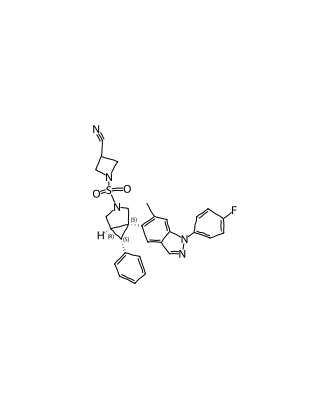 Cc1cc2c(cnn2-c2ccc(F)cc2)cc1[C@@]12CN(S(=O)(=O)N3CC(C#N)C3)C[C@@H]1[C@H]2c1ccccc1